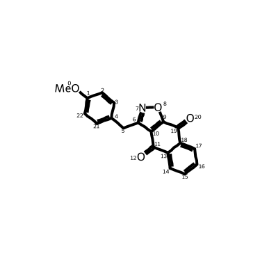 COc1ccc(Cc2noc3c2C(=O)c2ccccc2C3=O)cc1